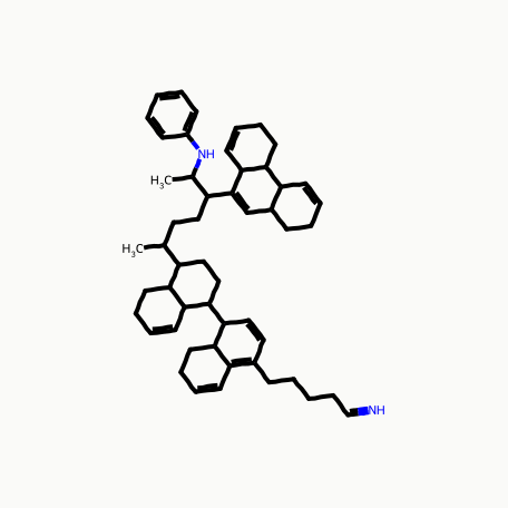 CC(CCC(C1=CC2CCC=CC2C2CCC=CC12)C(C)Nc1ccccc1)C1CCC(C2C=CC(CCCCC=N)=C3C=CCCC32)C2C=CCCC21